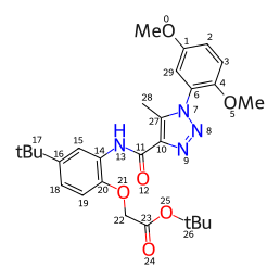 COc1ccc(OC)c(-n2nnc(C(=O)Nc3cc(C(C)(C)C)ccc3OCC(=O)OC(C)(C)C)c2C)c1